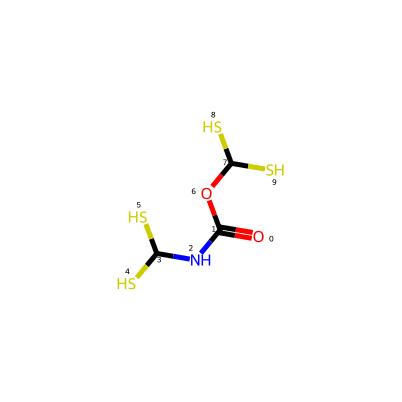 O=C(NC(S)S)OC(S)S